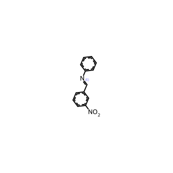 O=[N+]([O-])c1cccc(/C=N/c2ccccc2)c1